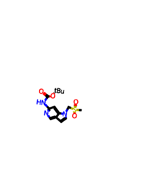 CC(C)(C)OC(=O)Nc1cc2c(ccn2CS(C)(=O)=O)cn1